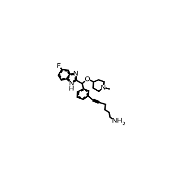 CN1CCC(OC(c2cccc(C#CCCCCN)c2)c2nc3cc(F)ccc3[nH]2)CC1